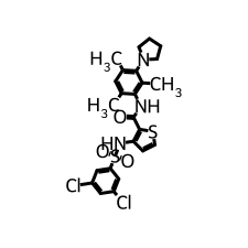 Cc1cc(C)c(N2CCCC2)c(C)c1NC(=O)c1sccc1NS(=O)(=O)c1cc(Cl)cc(Cl)c1